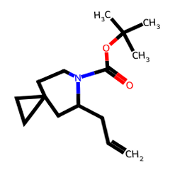 C=CCC1CC2(CCN1C(=O)OC(C)(C)C)CC2